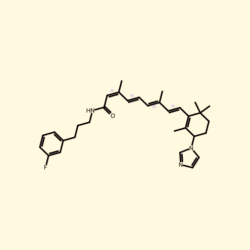 CC1=C(/C=C/C(C)=C/C=C/C(C)=C\C(=O)NCCCc2cccc(F)c2)C(C)(C)CCC1n1ccnc1